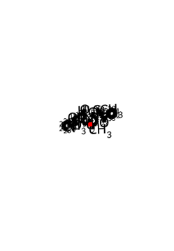 CC(C)CC(C(=O)N1CCC2C1C(=O)CN2S(=O)(=O)c1ccccn1)N(C(=O)c1ccccc1)N(C)C